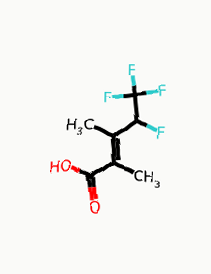 CC(C(=O)O)=C(C)C(F)C(F)(F)F